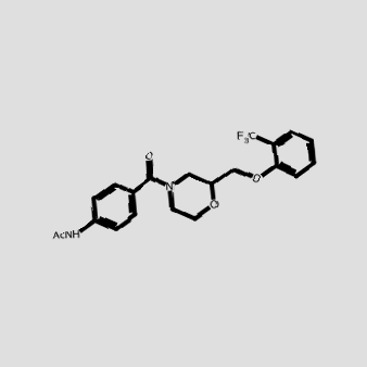 CC(=O)Nc1ccc(C(=O)N2CCOC(COc3ccccc3C(F)(F)F)C2)cc1